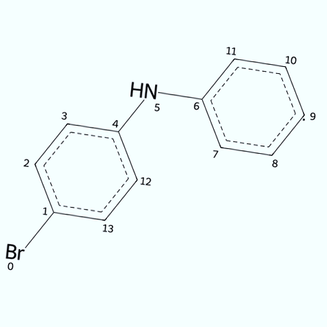 Brc1ccc(Nc2cc[c]cc2)cc1